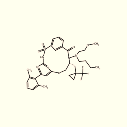 CCCCN(CCOC)N1C(=O)c2cccc(c2)S(=O)(=O)Nc2nc(cc(-c3c(C)cccc3C)n2)OC[C@H]1CC1(C(F)(F)F)CC1